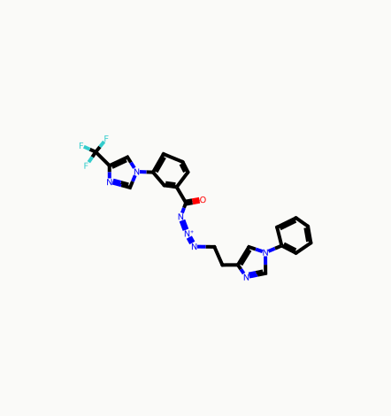 O=C(N=[N+]=NCCc1cn(-c2ccccc2)cn1)c1cccc(-n2cnc(C(F)(F)F)c2)c1